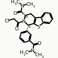 CN(C)C(=O)c1cccc([C@H]2c3sc4ccccc4c3C[C@H](C(=O)N(C)C)N2C(=O)CCl)c1